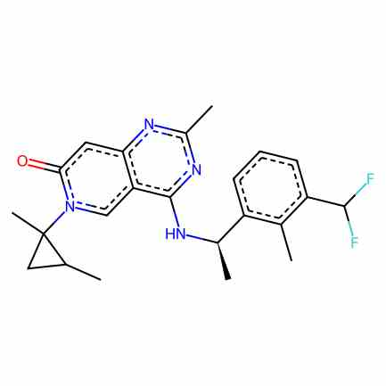 Cc1nc(N[C@H](C)c2cccc(C(F)F)c2C)c2cn(C3(C)CC3C)c(=O)cc2n1